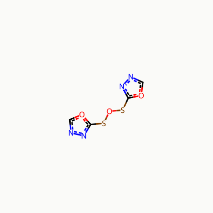 c1nnc(SOSc2nnco2)o1